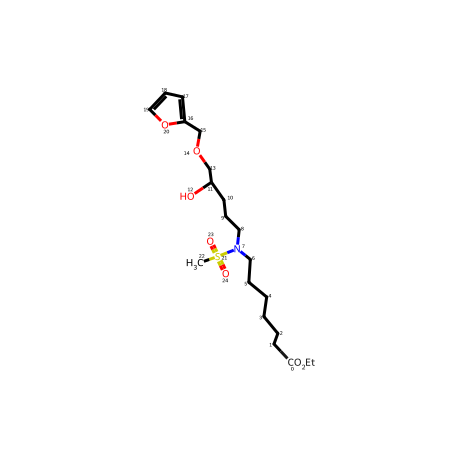 CCOC(=O)CCCCCCN(CCCC(O)COCc1ccco1)S(C)(=O)=O